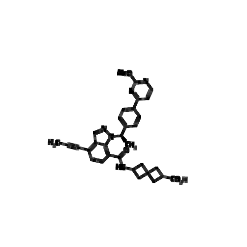 CC#Cc1ccc(C(=O)NC2CC3(C2)CC(C(=O)O)C3)c2c1cnn2[C@H](C)c1ccc(-c2ccnc(OC)n2)cc1